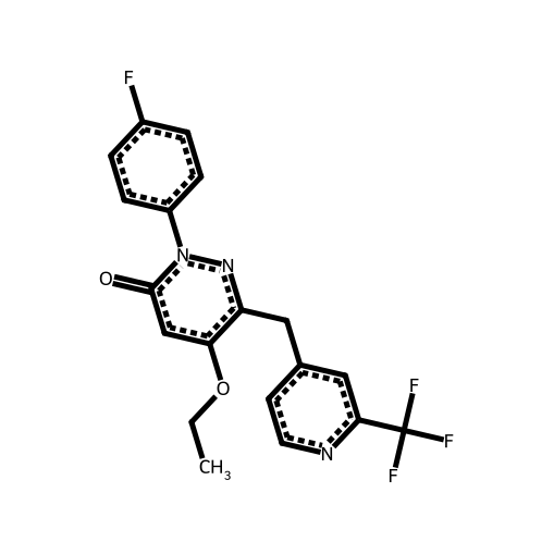 CCOc1cc(=O)n(-c2ccc(F)cc2)nc1Cc1ccnc(C(F)(F)F)c1